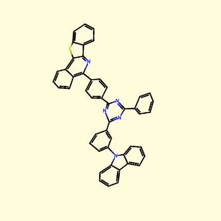 c1ccc(-c2nc(-c3ccc(-c4nc5c6ccccc6sc5c5ccccc45)cc3)nc(-c3cccc(-n4c5ccccc5c5ccccc54)c3)n2)cc1